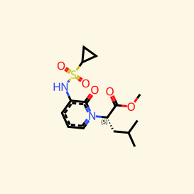 COC(=O)[C@H](CC(C)C)n1cccc(NS(=O)(=O)C2CC2)c1=O